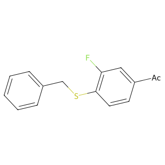 CC(=O)c1ccc(SCc2ccccc2)c(F)c1